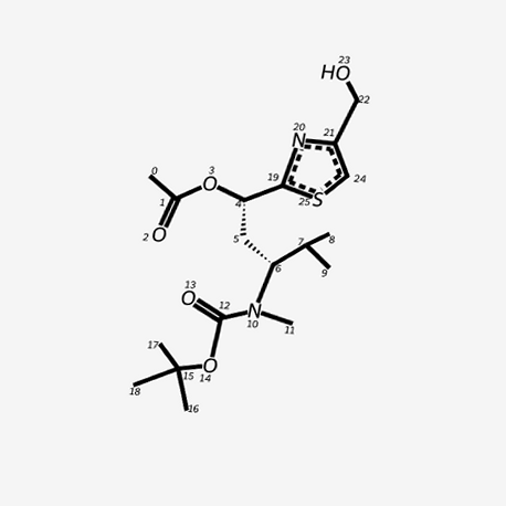 CC(=O)O[C@@H](C[C@H](C(C)C)N(C)C(=O)OC(C)(C)C)c1nc(CO)cs1